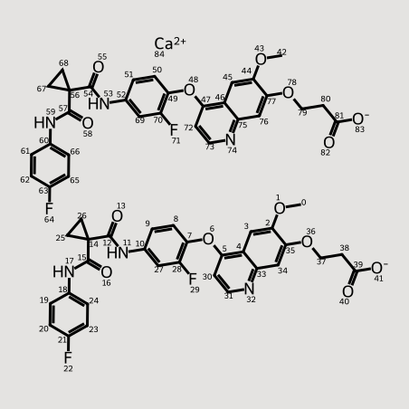 COc1cc2c(Oc3ccc(NC(=O)C4(C(=O)Nc5ccc(F)cc5)CC4)cc3F)ccnc2cc1OCCC(=O)[O-].COc1cc2c(Oc3ccc(NC(=O)C4(C(=O)Nc5ccc(F)cc5)CC4)cc3F)ccnc2cc1OCCC(=O)[O-].[Ca+2]